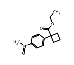 CCOC(=O)C1(c2ccc([N+](C)=O)cc2)CCC1